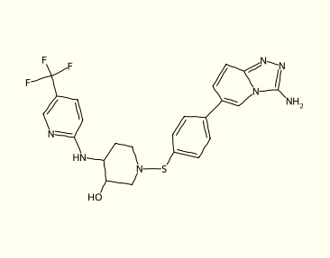 Nc1nnc2ccc(-c3ccc(SN4CCC(Nc5ccc(C(F)(F)F)cn5)C(O)C4)cc3)cn12